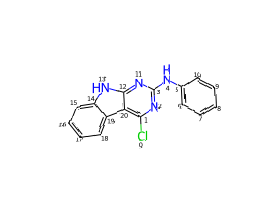 Clc1nc(Nc2ccccc2)nc2[nH]c3ccccc3c12